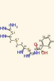 N=C(N)SC(=N)CSCCC(=N)SC(=N)NC(=O)[C@@H](O)c1ccccc1